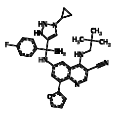 BC(Nc1cc(-c2ccco2)c2ncc(C#N)c(NCC(C)(C)C)c2c1)(C1=CN(C2CC2)NN1)c1ccc(F)cc1